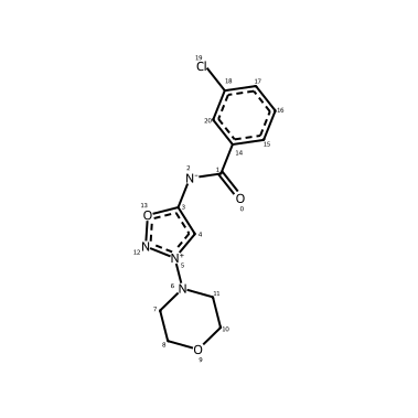 O=C([N-]c1c[n+](N2CCOCC2)no1)c1cccc(Cl)c1